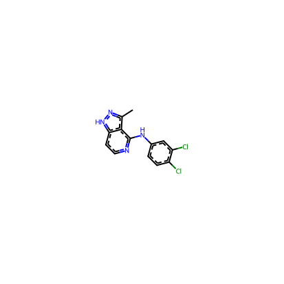 Cc1n[nH]c2ccnc(Nc3ccc(Cl)c(Cl)c3)c12